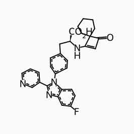 O=C(O)[C@H](Cc1ccc(-n2c(-c3cccnc3)nc3cc(F)ccc32)cc1)NC1=CC(=O)C12CCCCC2